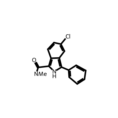 CNC(=O)c1[nH]c(-c2ccccc2)c2cc(Cl)ccc12